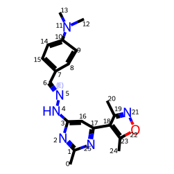 Cc1nc(N/N=C/c2ccc(N(C)C)cc2)cc(-c2c(C)noc2C)n1